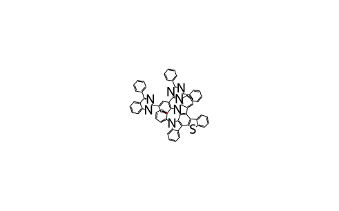 c1ccc(-c2nc(-c3ccccc3)nc(-c3cc(-c4nc(-c5ccccc5)c5ccccc5n4)ccc3-n3c4ccccc4c4c5c6ccccc6sc5c5c6ccccc6n(-c6ccccc6)c5c43)n2)cc1